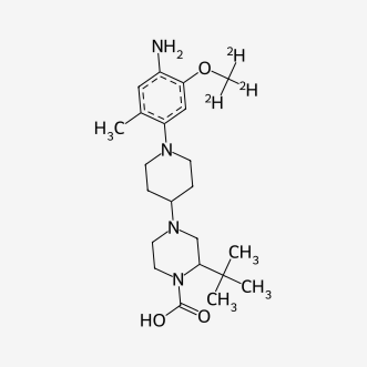 [2H]C([2H])([2H])Oc1cc(N2CCC(N3CCN(C(=O)O)C(C(C)(C)C)C3)CC2)c(C)cc1N